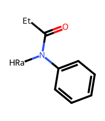 CCC(=O)[N]([RaH])c1ccccc1